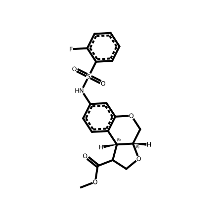 COC(=O)C1CO[C@H]2COc3cc(NS(=O)(=O)c4ccccc4F)ccc3[C@@H]12